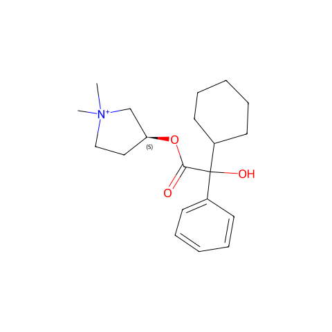 C[N+]1(C)CC[C@H](OC(=O)C(O)(c2ccccc2)C2CCCCC2)C1